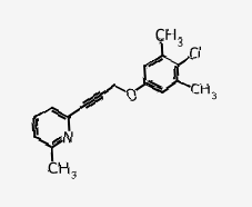 Cc1cccc(C#CCOc2cc(C)c(Cl)c(C)c2)n1